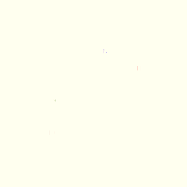 CCc1ccc2c(O)nccc2c1Br